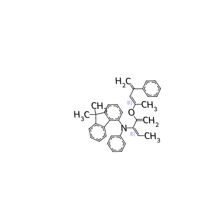 C=C(O/C(C)=C/C(=C)c1ccccc1)/C(=C\C)N(c1ccccc1)c1cccc2c1-c1ccccc1C2(C)C